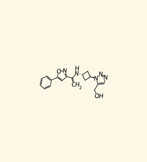 C=C(N[C@H]1C[C@H](n2nncc2CO)C1)c1cc(-c2ccccc2)on1